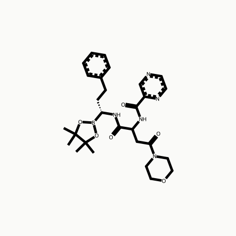 CC1(C)OB([C@H](CCc2ccccc2)NC(=O)C(CC(=O)N2CCOCC2)NC(=O)c2cnccn2)OC1(C)C